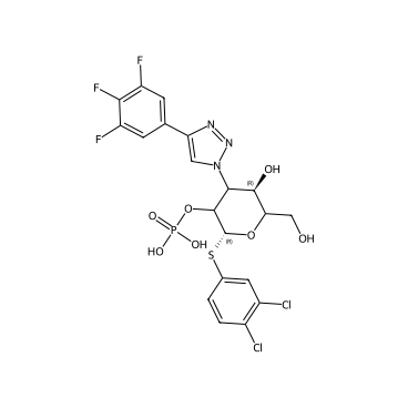 O=P(O)(O)OC1C(n2cc(-c3cc(F)c(F)c(F)c3)nn2)[C@@H](O)C(CO)O[C@@H]1Sc1ccc(Cl)c(Cl)c1